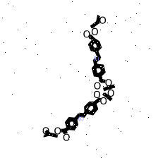 CC(C)(OC(=O)c1ccc(/C=C/c2ccc(C(=O)OCC3CO3)cc2)cc1)OC(C)(C)OC(=O)c1ccc(/C=C/c2ccc(C(=O)OCC3CO3)cc2)cc1